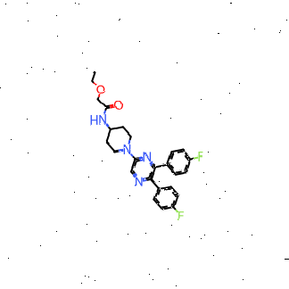 CCOCC(=O)NC1CCN(c2cnc(-c3ccc(F)cc3)c(-c3ccc(F)cc3)n2)CC1